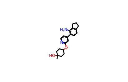 CC1(O)CCC(Oc2cc(-c3ccc4c(c3N)CCC4)ccn2)CC1